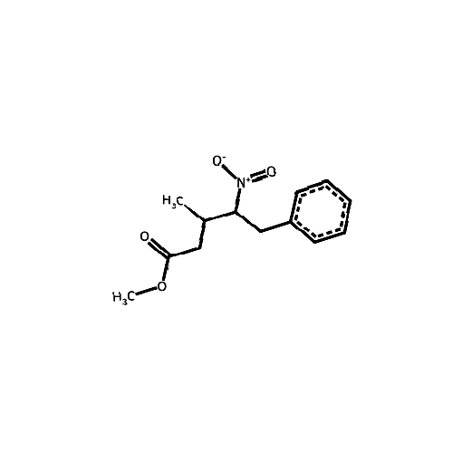 COC(=O)CC(C)C(Cc1ccccc1)[N+](=O)[O-]